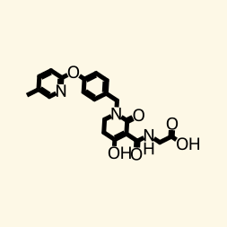 Cc1ccc(Oc2ccc(CN3CCC(O)=C(C(=O)NCC(=O)O)C3=O)cc2)nc1